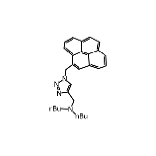 CCCCN(CCCC)Cc1cn(Cc2cc3cccc4ccc5cccc2c5c43)nn1